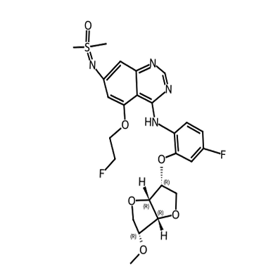 CO[C@@H]1CO[C@H]2[C@@H]1OC[C@H]2Oc1cc(F)ccc1Nc1ncnc2cc(N=S(C)(C)=O)cc(OCCF)c12